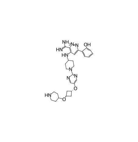 N=C(N)c1nnc(-c2ccccc2O)cc1NC1CCN(c2ncc(O[C@H]3C[C@H](OC4CCNCC4)C3)cn2)CC1